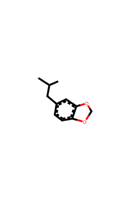 [CH2]C(C)Cc1ccc2c(c1)OCO2